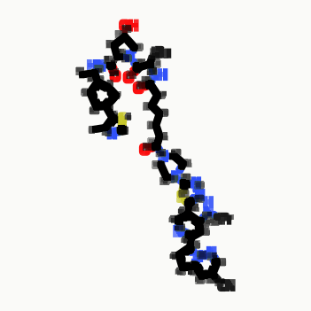 Cc1ncsc1-c1ccc(C(C)NC(=O)[C@@H]2C[C@@H](O)CN2C(=O)C(NC(=O)CCCCCC(=O)N2CCN(c3nnc(-c4cnc(-c5ccc6cc(C#N)cnn56)cc4NC(C)C)s3)CC2)C(C)(C)C)cc1